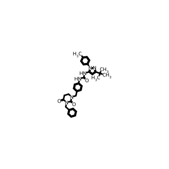 Cc1ccc(-n2nc(C(C)(C)C)cc2NC(=O)Nc2ccc(CN3CCC(=O)N(Cc4ccccc4)C3=O)cc2)cc1